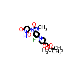 Cn1c(=O)n(C2CCC(=O)NC2=O)c2cc(F)c(N3CCC(O)(CC(=O)OC(C)(C)C)CC3)cc21